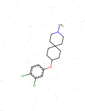 CN1CCC2(CCC(Oc3ccc(Cl)c(Cl)c3)CC2)CC1